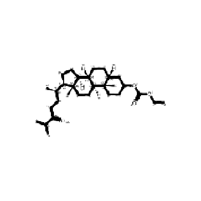 CCOC(=O)OC1CC[C@@]2(C)[C@H](CC[C@@H]3[C@@H]2CC[C@]2(C)[C@@H]([C@H](C)CCC(=O)C(C)C)CC[C@@H]32)C1